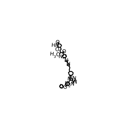 CC1=Nc2cc(N3CC(N4CC(CCC5CCCC(n6nc(-c7ccc(Oc8ccccc8)cc7)c7c(N)ncnc76)CC5)C4)C3)ccc2C(=O)C1CCC1CCC(=O)NC1=O